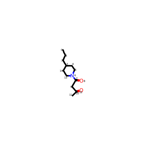 CCCC1CCN(C(=O)CC(C)=O)CC1